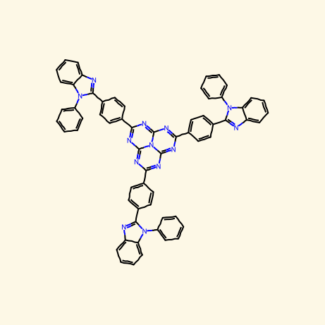 c1ccc(-n2c(-c3ccc(C4=NC5=NC(c6ccc(-c7nc8ccccc8n7-c7ccccc7)cc6)=NC6=NC(c7ccc(-c8nc9ccccc9n8-c8ccccc8)cc7)=NC(=N4)N56)cc3)nc3ccccc32)cc1